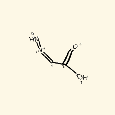 N=[N+]=CC(=O)O